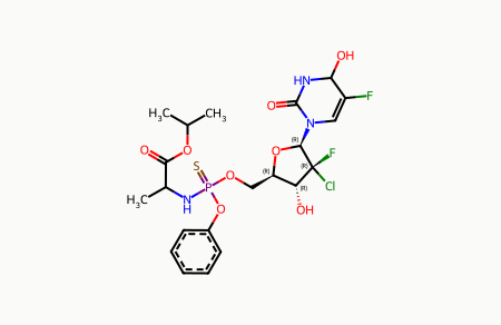 CC(C)OC(=O)C(C)NP(=S)(OC[C@H]1O[C@@H](N2C=C(F)C(O)NC2=O)[C@](F)(Cl)[C@@H]1O)Oc1ccccc1